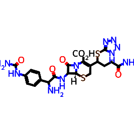 NC(=O)CCC(Sc1nnn[nH]1)C1=C(C(=O)O)N2C(=O)C(NC(=O)C(N)c3ccc(NC(N)=O)cc3)[C@@H]2SC1